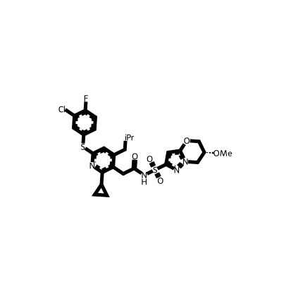 CO[C@H]1COc2cc(S(=O)(=O)NC(=O)Cc3c(CC(C)C)cc(Sc4ccc(F)c(Cl)c4)nc3C3CC3)nn2C1